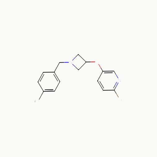 CC(C)c1ccc(CN2CC(Oc3ccc(Br)nc3)C2)cc1